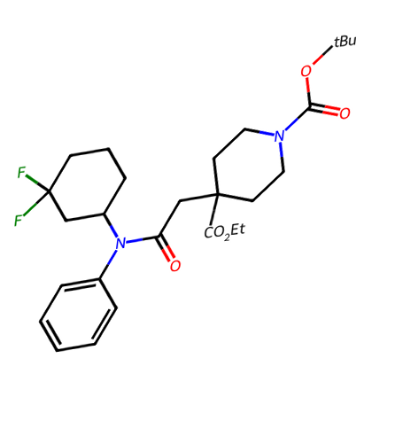 CCOC(=O)C1(CC(=O)N(c2ccccc2)C2CCCC(F)(F)C2)CCN(C(=O)OC(C)(C)C)CC1